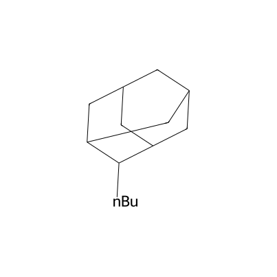 CCCCC1C2CC3CC(C2)CC1C3